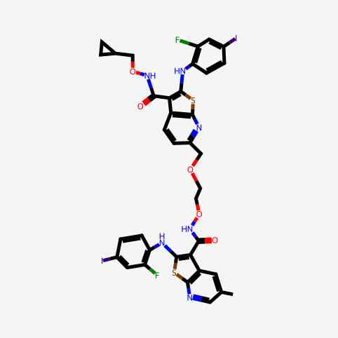 Cc1cnc2sc(Nc3ccc(I)cc3F)c(C(=O)NOCCOCc3ccc4c(C(=O)NOCC5CC5)c(Nc5ccc(I)cc5F)sc4n3)c2c1